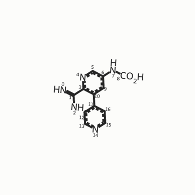 N=C(N)c1ncc(NC(=O)O)cc1-c1ccncc1